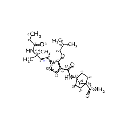 CCC(=O)NC(C)(C)/C=C/n1ncc(C(=O)NC23CCC(C(N)=O)(CC2)C3)c1OCC(C)C